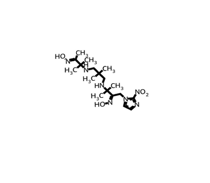 CC(=NO)C(C)(C)NCC(C)(C)CNC(C)(C)C(Cn1ccnc1[N+](=O)[O-])=NO